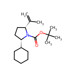 C=C(C)[C@H]1CC[C@@H](C2CCCCC2)N1C(=O)OC(C)(C)C